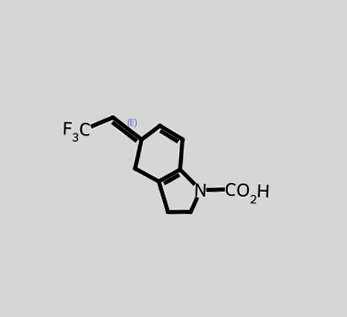 O=C(O)N1CCC2=C1C=C/C(=C/C(F)(F)F)C2